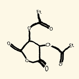 CCC(=O)OC1C(=O)OC(=O)C1OC(=O)CC